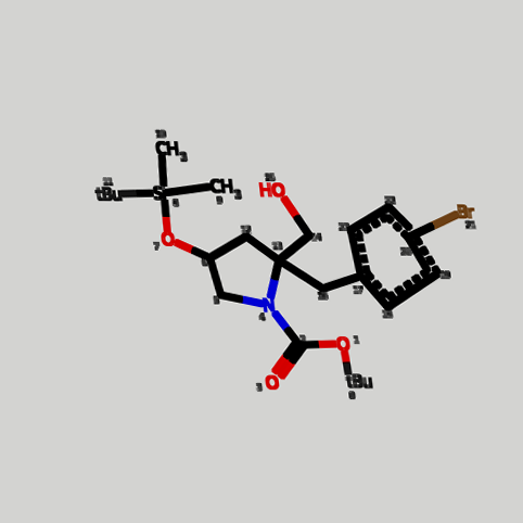 CC(C)(C)OC(=O)N1CC(O[Si](C)(C)C(C)(C)C)CC1(CO)Cc1ccc(Br)cc1